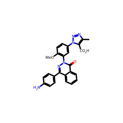 COc1ccc(-n2nnc(C)c2C(=O)O)cc1-n1nc(-c2ccc(N)cc2)c2ccccc2c1=O